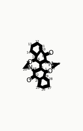 O=C1C(C2=C(N3CC3)C(=O)c3ccccc3C2=O)=C(N2CC2)C(=O)c2ccccc21